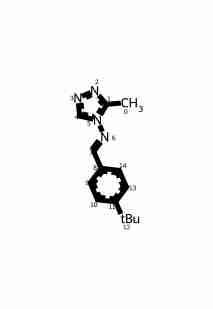 Cc1nncn1N=Cc1ccc(C(C)(C)C)cc1